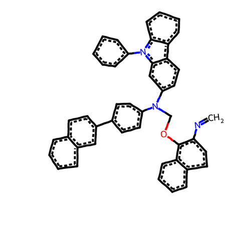 C=Nc1ccc2ccccc2c1OCN(c1ccc(-c2ccc3ccccc3c2)cc1)c1ccc2c3ccccc3n(-c3ccccc3)c2c1